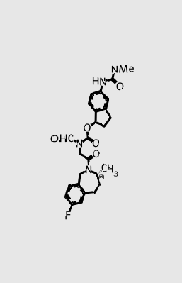 CNC(=O)Nc1ccc2c(c1)CCC2OC(=O)N(C=O)CC(=O)N1Cc2ccc(F)cc2CC[C@H]1C